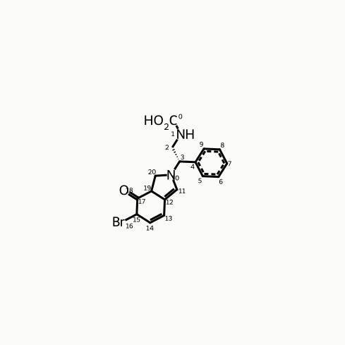 O=C(O)NC[C@H](c1ccccc1)N1C=C2C=CC(Br)C(=O)C2C1